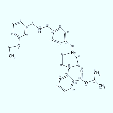 CCOc1cccc(CNCc2ccc(CN3CCN(c4ncccc4C(=O)OC(C)C)CC3)cc2)c1